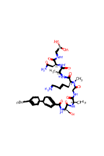 CCCCc1ccc(-c2ccc(C(=O)N[C@H](CO)C(=O)N[C@H](C)C(=O)NCC(=O)N(C)[C@@H](CCCCN)C(=O)N[C@@H](C)C(=O)N[C@@H](CC(N)=O)C(=O)NCB(O)O)cc2)cc1